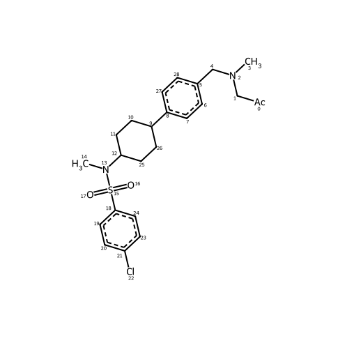 CC(=O)CN(C)Cc1ccc(C2CCC(N(C)S(=O)(=O)c3ccc(Cl)cc3)CC2)cc1